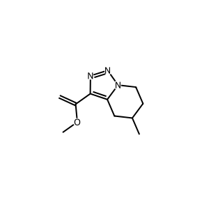 C=C(OC)c1nnn2c1CC(C)CC2